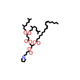 CCCCC/C=C\C/C=C\CCCCCCCC(=O)OCC(COC(=O)CCCN1CCCC1)COC(=O)CCC(OCCC(C)CCC=C(C)C)OCCC(C)CCC=C(C)C